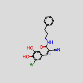 N#C/C(=C/c1cc(O)c(O)c(Br)c1)C(=O)NCCCc1ccccc1